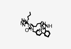 CCCCc1cn(-c2nnnn2CCCC)c(=O)n1Cc1ccc(-c2ccccc2-c2nnn[nH]2)nc1